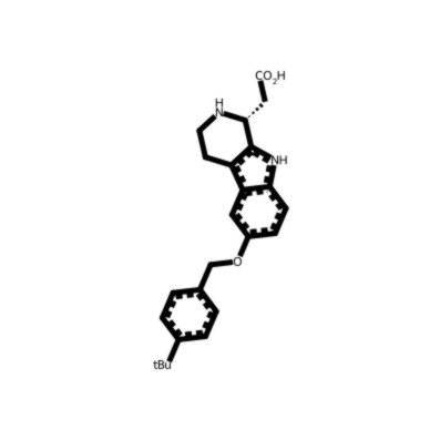 CC(C)(C)c1ccc(COc2ccc3[nH]c4c(c3c2)CCN[C@@H]4CC(=O)O)cc1